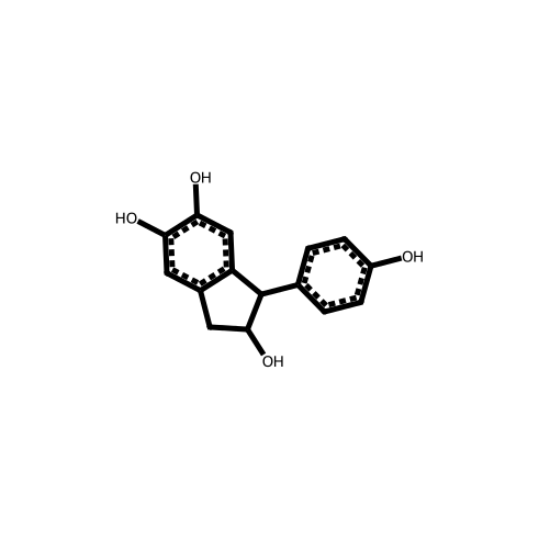 Oc1ccc(C2c3cc(O)c(O)cc3CC2O)cc1